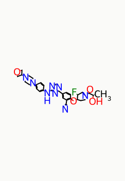 C[C@H](O)C(=O)N1CC[C@@H](Oc2ccc(-c3ncnc(Nc4ccc(N5CCN(C6COC6)CC5)cc4)n3)cc2C#N)[C@@H](F)C1